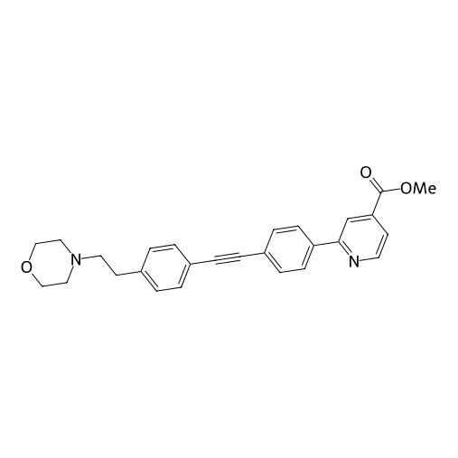 COC(=O)c1ccnc(-c2ccc(C#Cc3ccc(CCN4CCOCC4)cc3)cc2)c1